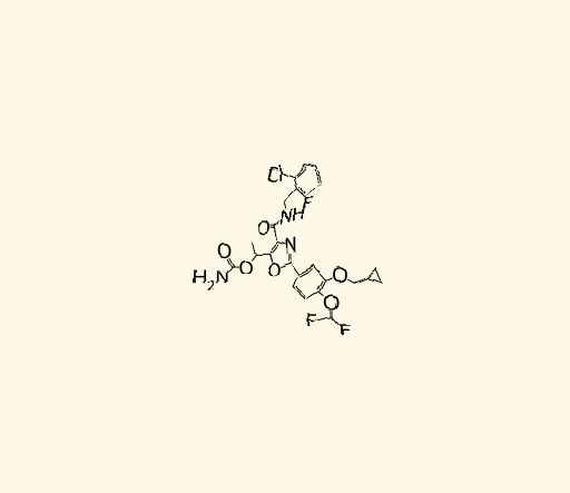 CC(OC(N)=O)c1oc(-c2ccc(OC(F)F)c(OCC3CC3)c2)nc1C(=O)NCc1c(F)cccc1Cl